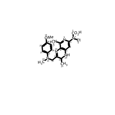 CCN(C(=O)O)c1cc2c(c(N)n1)N=C(CN(C)c1ccc(OC)cc1)C(C)N2